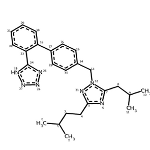 CC(C)CCc1nc(CC(C)C)n(Cc2ccc(-c3ccccc3-c3nnn[nH]3)cc2)n1